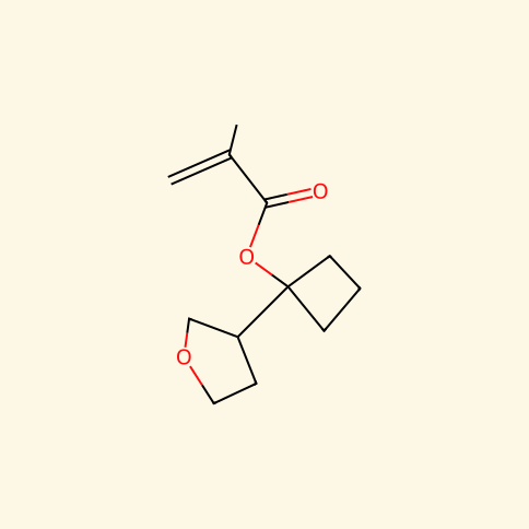 C=C(C)C(=O)OC1(C2CCOC2)CCC1